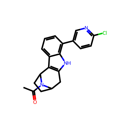 CC(=O)N1C2CCC1c1c([nH]c3c(-c4ccc(Cl)nc4)cccc13)C2